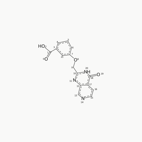 O=C(O)c1cccc(OCc2nc3cnccc3c(=O)[nH]2)c1